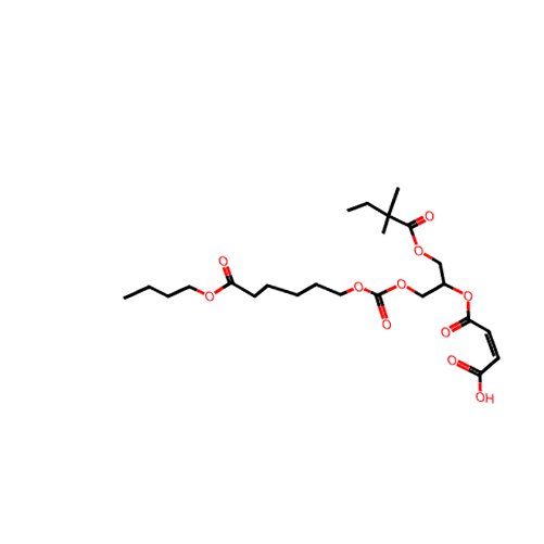 CCCCOC(=O)CCCCCOC(=O)OCC(COC(=O)C(C)(C)CC)OC(=O)/C=C\C(=O)O